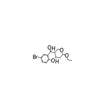 CCO[C@H]1C[C@H]2Oc3ccc(Br)cc3C(=O)[C@H]2CO1